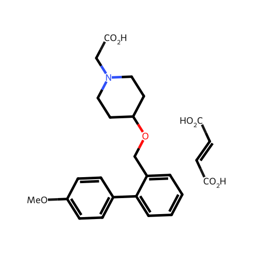 COc1ccc(-c2ccccc2COC2CCN(CC(=O)O)CC2)cc1.O=C(O)C=CC(=O)O